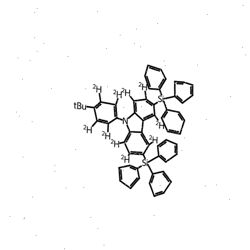 [2H]c1c([2H])c(C(C)(C)C)c([2H])c([2H])c1-n1c2c([2H])c([2H])c([Si](c3ccccc3)(c3ccccc3)c3ccccc3)c([2H])c2c2c([2H])c([Si](c3ccccc3)(c3ccccc3)c3ccccc3)c([2H])c([2H])c21